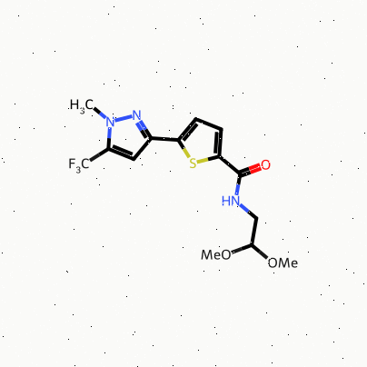 COC(CNC(=O)c1ccc(-c2cc(C(F)(F)F)n(C)n2)s1)OC